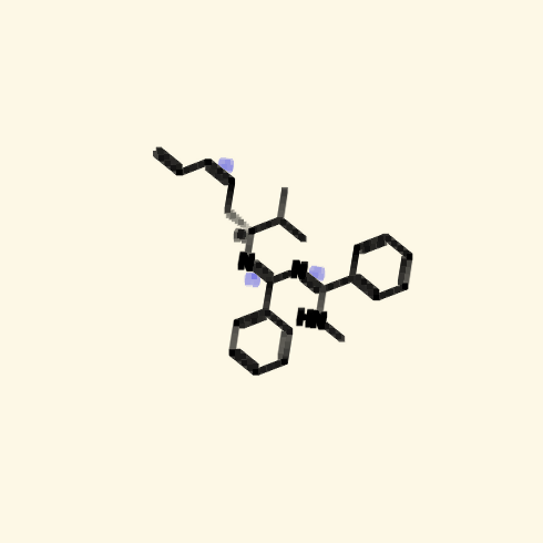 C=C/C=C\C[C@@H](/N=C(\N=C(/NC)c1ccccc1)c1ccccc1)C(C)C